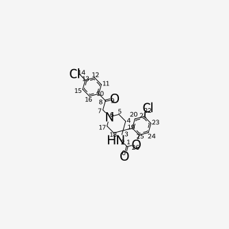 O=C1NC2(CCN(CC(=O)c3ccc(Cl)cc3)CC2)c2cc(Cl)ccc2O1